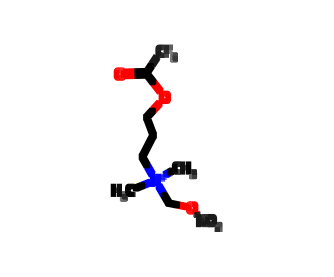 C[N+](C)(CCCOC(=O)C(F)(F)F)CO[N+](=O)[O-]